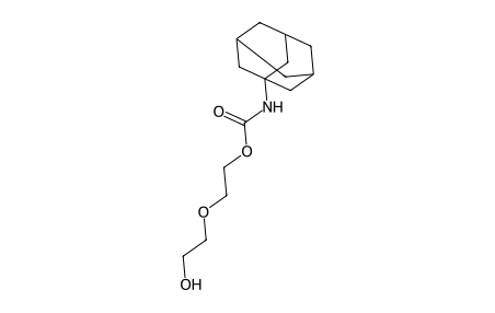 O=C(NC12CC3CC(CC(C3)C1)C2)OCCOCCO